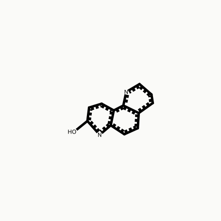 Oc1ccc2c(ccc3cccnc32)n1